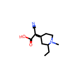 CCC1CC(=C(C#N)C(=O)O)CCN1C